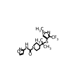 Cn1cc(SC(C)(C)C2CCN(C(=O)Nc3ccon3)CC2)c(C(F)(F)F)n1